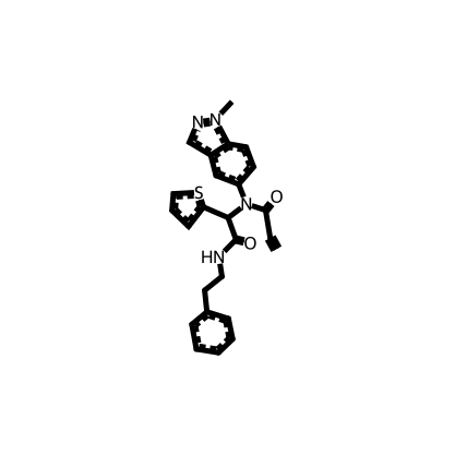 C#CC(=O)N(c1ccc2c(cnn2C)c1)C(C(=O)NCCc1ccccc1)c1cccs1